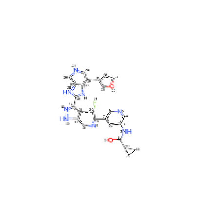 O=C(Nc1cncc(-c2ncc3[nH]nc(-c4nc5c(-c6ccoc6)cncc5[nH]4)c3c2F)c1)C1CC1